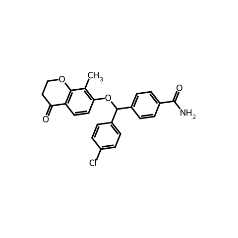 Cc1c(OC(c2ccc(Cl)cc2)c2ccc(C(N)=O)cc2)ccc2c1OCCC2=O